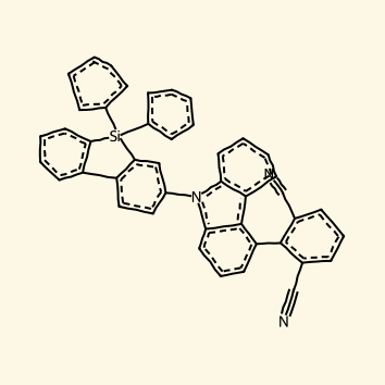 N#Cc1cccc(C#N)c1-c1cccc2c1c1ccccc1n2-c1ccc2c(c1)[Si](c1ccccc1)(c1ccccc1)c1ccccc1-2